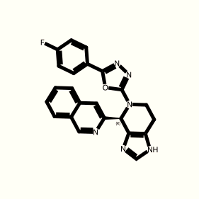 Fc1ccc(-c2nnc(N3CCc4[nH]cnc4[C@H]3c3cc4ccccc4cn3)o2)cc1